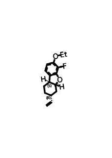 C=C[C@@H]1CC[C@H]2c3ccc(OCC)c(F)c3O[C@@H]2C1